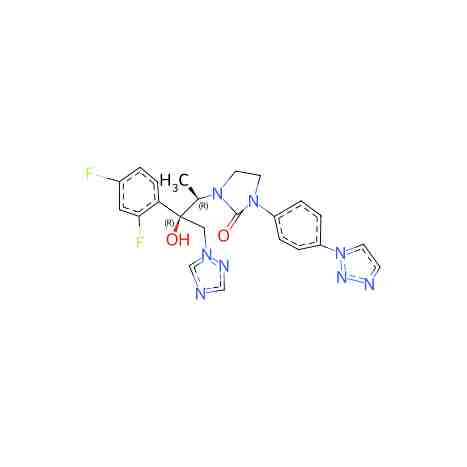 C[C@@H](N1CCN(c2ccc(-n3ccnn3)cc2)C1=O)[C@](O)(Cn1cncn1)c1ccc(F)cc1F